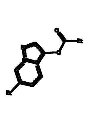 CCC(=O)Oc1cnn2cc(CC)ccc12